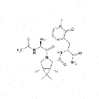 Cn1cccc(CC(NC(=O)[C@@H]2[C@@H]3[C@H](CN2C(=O)[C@@H](NC(=O)C(F)(F)F)C(C)(C)C)C3(C)C)C(N)=O)c1=O